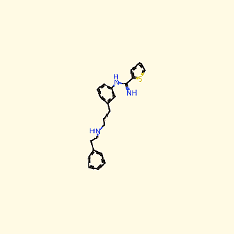 N=C(Nc1cccc(CCCNCCc2ccccc2)c1)c1cccs1